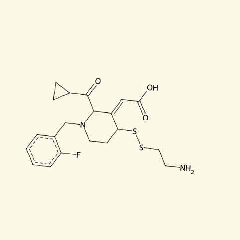 NCCSSC1CCN(Cc2ccccc2F)C(C(=O)C2CC2)/C1=C/C(=O)O